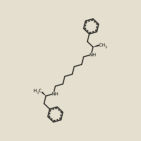 C[C@H](Cc1ccccc1)NCCCCCCCN[C@H](C)Cc1ccccc1